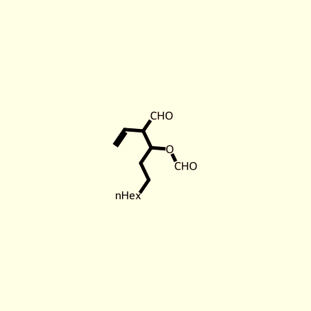 C=CC(C=O)C(CCCCCCCC)OC=O